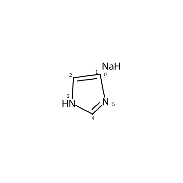 [NaH].c1c[nH]cn1